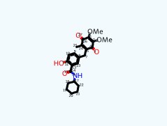 COC1=C(OC)C(=O)C(Cc2ccc(O)c(C(=O)NC3CCCCC3)c2)=C(C)C1=O